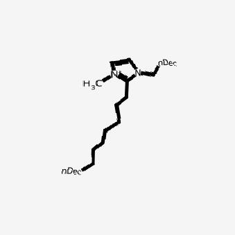 CCCCCCCCCCCCCCCCCc1n(CCCCCCCCCCC)cc[n+]1C